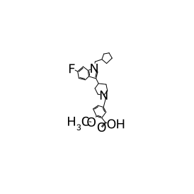 COc1ccc(CN2CCC(c3cn(CC4CCCC4)c4cc(F)ccc34)CC2)cc1C(=O)O